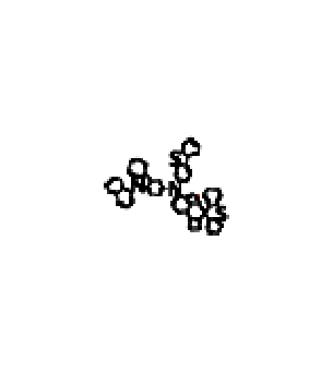 c1ccc2c(c1)Sc1ccccc1C21c2ccccc2-c2ccc(N(c3ccc4c(c3)sc3ccccc34)c3ccc4c(c3)c3ccccc3n4-c3cccc4ccccc34)c3cccc1c23